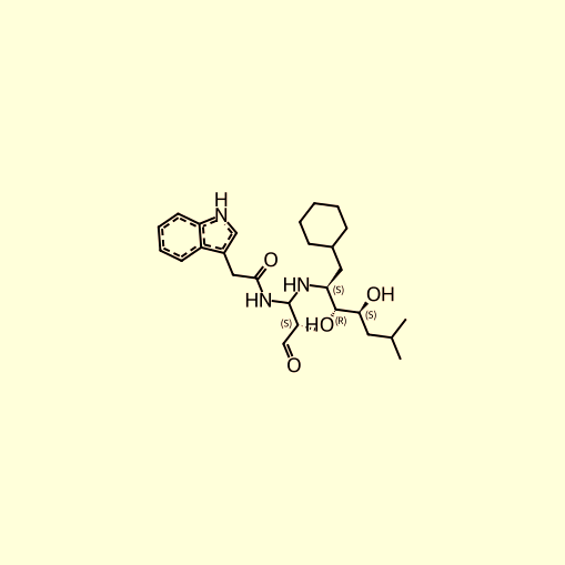 CC(C)C[C@H](O)[C@H](O)[C@H](CC1CCCCC1)NC(NC(=O)Cc1c[nH]c2ccccc12)[C@H](C)C=O